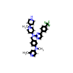 Cc1cc(N(C)c2ccc(CN(c3nccc(-c4ccc(C(F)(F)F)cc4)n3)C3CC[N+](C)(C4CCNCC4)CC3)cc2)ccn1